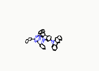 c1ccc(-c2nc(-c3ccc4ccccc4c3)nc(-c3ccccc3-n3c4cc(-n5c6ccccc6c6cc7ccccc7cc65)ccc4c4cc5ccccc5cc43)n2)cc1